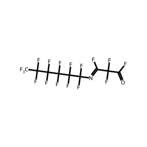 O=C(F)C(F)(F)C(F)=NC(F)(F)C(F)(F)C(F)(F)C(F)(F)C(F)(F)C(F)(F)F